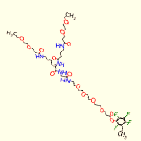 CCOCCOCCC(=O)NCCCC[C@H](NC(=O)CCCNC(=O)CCOCCOCC)C(=O)NCC(=O)NCCOCCOCCOCCOCCC(=O)Oc1c(F)c(F)c(F)c(CC)c1F